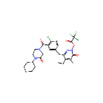 CCc1c(Cc2ccc(F)c(C(=O)N3CCN(C4CCCCC4)C(=O)C3)c2)nn(OC(=O)C(F)(F)F)c(=O)c1C